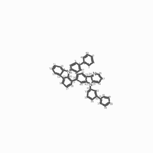 c1ccc(-c2ccc(-n3c4ccccc4c4cccc(-c5ccc6c7ncccc7n(-c7cccc(-c8ccccc8)c7)c6c5)c43)cc2)cc1